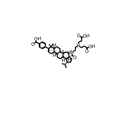 CC(C)[C@@H]1CC[C@]2(C(=O)NCCN(CCC(=O)O)CCC(=O)O)CC[C@]3(C)[C@H](CC[C@@H]4[C@@]5(C)CC=C(c6ccc(C(=O)O)cc6)C(C)(C)[C@@H]5CC[C@]43C)[C@@H]12